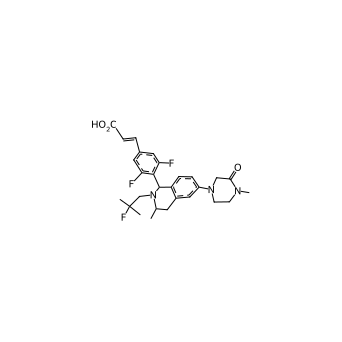 CC1Cc2cc(N3CCN(C)C(=O)C3)ccc2C(c2c(F)cc(/C=C/C(=O)O)cc2F)N1CC(C)(C)F